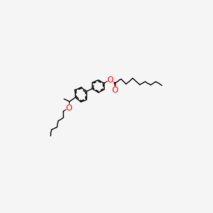 CCCCCCCCC(=O)Oc1ccc(-c2ccc(C(C)OCCCCCC)cc2)cc1